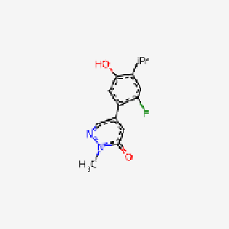 CC(C)c1cc(F)c(-c2cnn(C)c(=O)c2)cc1O